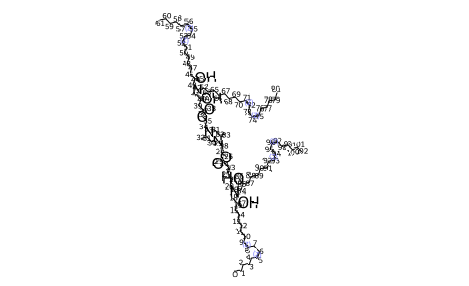 CCCCC/C=C\C/C=C\CCCCCCC(O)CN(CCCCC(=O)OCCN1CC(C)N(CCOC(=O)CCCN(CC(O)CCCCCC/C=C\C/C=C\CCCCC)CC(O)CCCCCC/C=C\C/C=C\CCCCC)CC1C)CC(O)CCCCCC/C=C\C/C=C\CCCCC